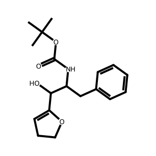 CC(C)(C)OC(=O)NC(Cc1ccccc1)C(O)C1=CCCO1